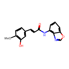 COc1ccc(C=CC(=O)Nc2cccc3ocnc23)cc1O